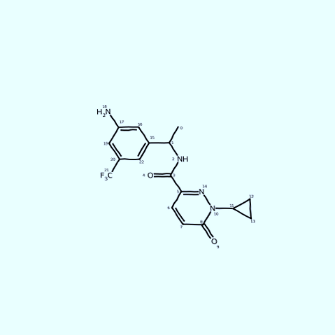 CC(NC(=O)c1ccc(=O)n(C2CC2)n1)c1cc(N)cc(C(F)(F)F)c1